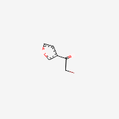 O=C(CBr)c1ccoc1